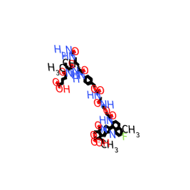 CC[C@@]1(O)C(=O)OCc2c1cc1n(c2=O)Cc2c-1nc1cc(F)c(C)c3c1c2[C@@H](NC(=O)COCNC(=O)CNC(=O)OCc1ccc(NC(=O)[C@H](CCCNC(N)=O)NC(=O)[C@@H](NC(=O)CCCC(=O)O)C(C)C)cc1)CC3